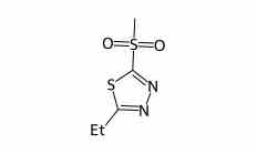 [CH2]Cc1nnc(S(C)(=O)=O)s1